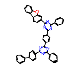 c1ccc(-c2ccc(-c3nc(-c4ccccc4)nc(-c4ccc(-c5nc(-c6ccccc6)nc(-c6ccc7c(c6)oc6ccccc67)n5)cc4)n3)cc2)cc1